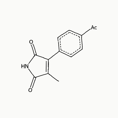 CC(=O)c1ccc(C2=C(C)C(=O)NC2=O)cc1